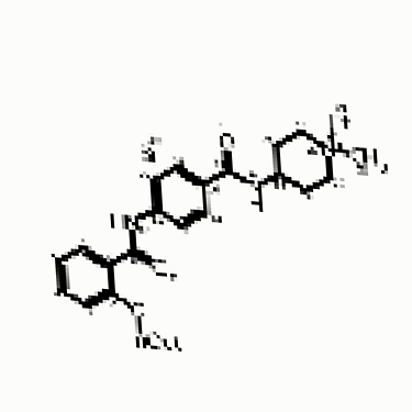 CCCCCCCCOc1ccccc1C(=O)Nc1ccc(C(=O)NC2CC[N+](C)(CC)CC2)cc1.[Br-]